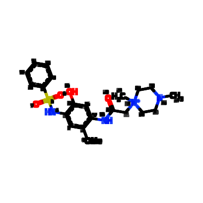 COc1cc(NS(=O)(=O)c2ccccc2)c(O)cc1NC(=O)C[N+]1(C)CCN(C)CC1